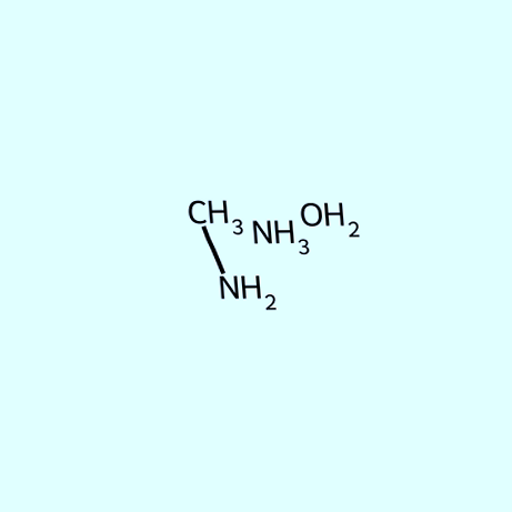 CN.N.O